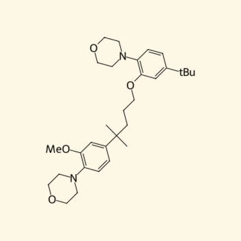 COc1cc(C(C)(C)CCCOc2cc(C(C)(C)C)ccc2N2CCOCC2)ccc1N1CCOCC1